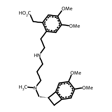 COc1cc(CCNCCCN(C)C[C@H]2Cc3cc(OC)c(OC)cc32)c(CC(=O)O)cc1OC